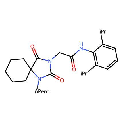 CCCCCN1C(=O)N(CC(=O)Nc2c(C(C)C)cccc2C(C)C)C(=O)C12CCCCC2